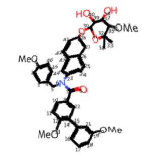 COc1ccc(CN(C(=O)c2ccc(OC)c(-c3cccc(OC)c3)c2)c2ccc3cc(OC4OC(C)(C)C(OC)C(O)C4O)ccc3c2)cc1